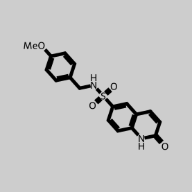 COc1ccc(CNS(=O)(=O)c2ccc3[nH]c(=O)ccc3c2)cc1